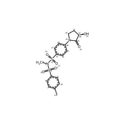 CN(S(=O)(=O)c1ccc(F)cc1)S(=O)(=O)c1ccc(N2CC[C@@H](O)C2=O)cc1